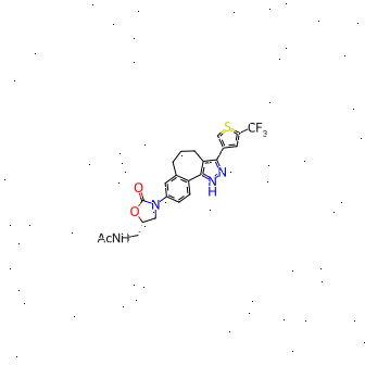 CC(=O)NC[C@H]1CN(c2ccc3c(c2)CCCc2c(-c4csc(C(F)(F)F)c4)n[nH]c2-3)C(=O)O1